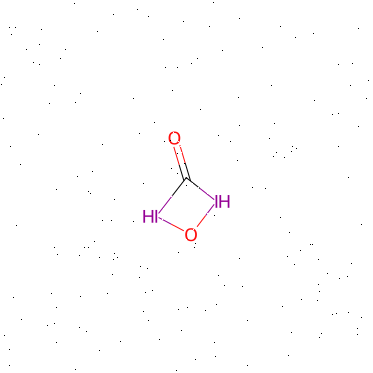 O=C1[IH]O[IH]1